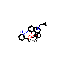 CO[C@]12CC[C@@]3(C[C@@H]1COCc1ccccc1)C1Cc4ccc(N)c5c4[C@@]3(CCN1CC1CC1)[C@H]2O5